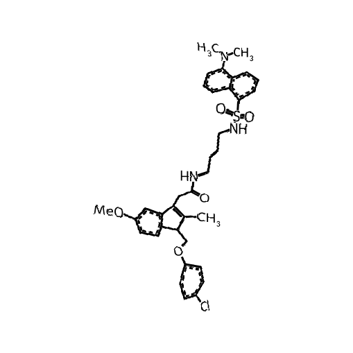 COc1ccc2c(c1)C(CC(=O)NCCCCNS(=O)(=O)c1cccc3c(N(C)C)cccc13)=C(C)C2COc1ccc(Cl)cc1